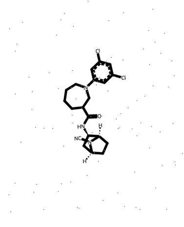 N#CN1[C@H]2CC[C@@H]1[C@H](NC(=O)C1CCCCN(c3cc(Cl)cc(Cl)c3)C1)C2